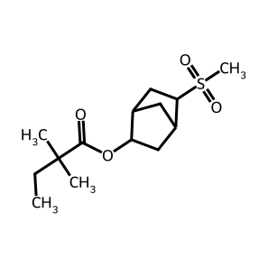 CCC(C)(C)C(=O)OC1CC2CC1CC2S(C)(=O)=O